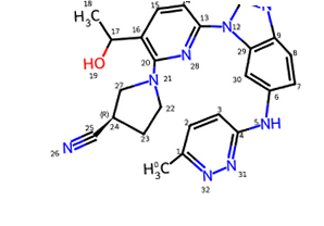 Cc1ccc(Nc2ccc3ncn(-c4ccc(C(C)O)c(N5CC[C@@H](C#N)C5)n4)c3c2)nn1